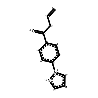 C=CCC(=O)c1ccc(-n2cccn2)cc1